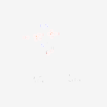 CCCCC/C=C\C/C=C\CCCCCCCCC1(CCCCCCCC/C=C\C/C=C\CCCCC)CCC2(CC1)O[C@H]1C[C@@H](N(C)CCOP(=O)(O)OCCO)[C@@H](CCCOP(=O)(O)OCCN)C[C@H]1O2